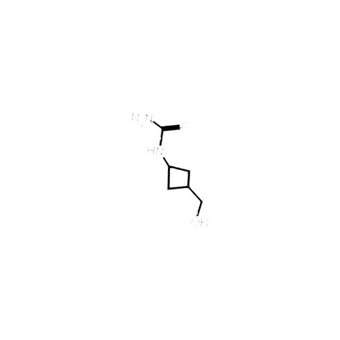 NC(=O)NC1CC(CO)C1